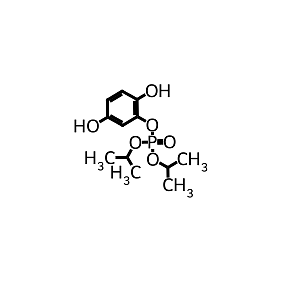 CC(C)OP(=O)(Oc1cc(O)ccc1O)OC(C)C